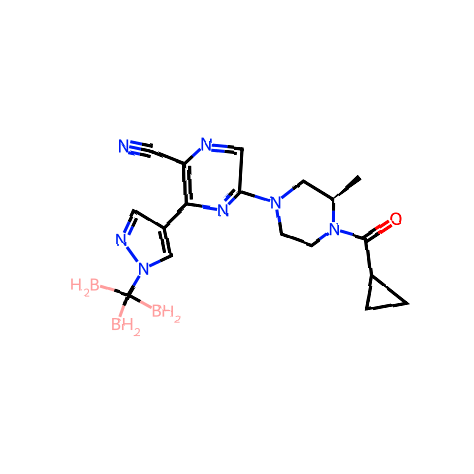 BC(B)(B)n1cc(-c2nc(N3CCN(C(=O)C4CC4)[C@H](C)C3)cnc2C#N)cn1